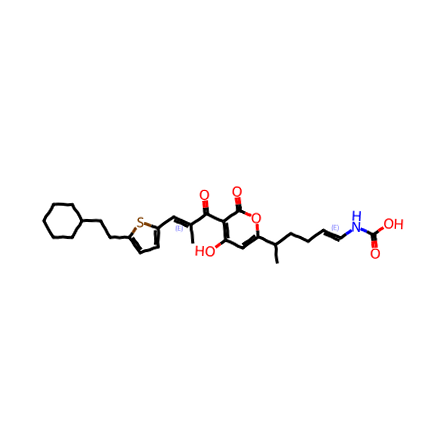 C/C(=C\c1ccc(CCC2CCCCC2)s1)C(=O)c1c(O)cc(C(C)CC/C=C/NC(=O)O)oc1=O